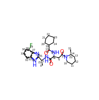 C[C@H](NC(=O)[C@H](CC(=O)N1CCCC[C@@H]1C)NC(=O)C1CCCCC1)c1nc2c(F)cccc2[nH]1